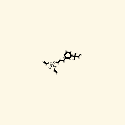 C=COP(=O)(OC=C)OCCCc1cccc(C(C)(C)CC)c1